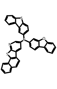 c1ccc2c(c1)ccc1c3cc(N(c4ccc5c(c4)oc4ccccc45)c4ccc5sc6ccccc6c5c4)cnc3sc21